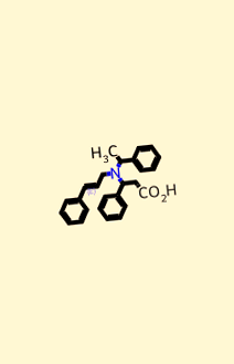 CC(c1ccccc1)N(C/C=C/c1ccccc1)C(CC(=O)O)c1ccccc1